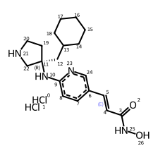 Cl.Cl.O=C(/C=C/c1ccc(N[C@]2(CC3CCCCC3)CCNC2)nc1)NO